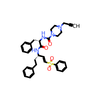 C#CCN1CCN(C(=O)N[C@@H](Cc2ccccc2)C(=O)N[C@H](/C=C/S(=O)(=O)c2ccccc2)CCc2ccccc2)CC1